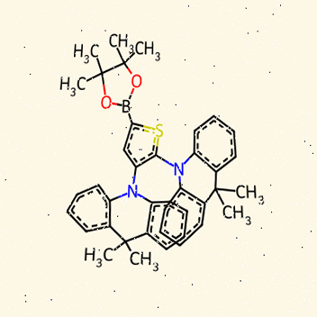 CC1(C)c2ccccc2N(c2cc(B3OC(C)(C)C(C)(C)O3)sc2N2c3ccccc3C(C)(C)c3ccccc32)c2ccccc21